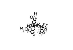 CSc1ncc(-c2ccc3c(c2)C(=O)NC3)c([C@H](Cc2cc(F)cc(F)c2)NC(=O)Cn2nc(C(F)(F)F)c3c2C(F)(F)[C@@H]2CC[C@H]32)n1